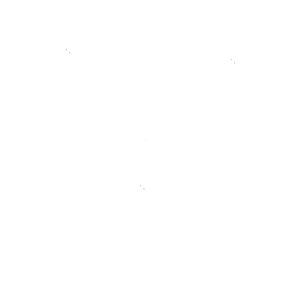 N#Cc1ccc2c(c1)-c1cc(C#N)ccc1C21c2ccccc2-n2c3ccccc3c3cccc1c32